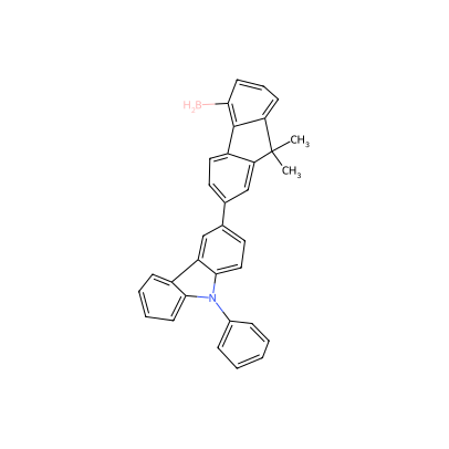 Bc1cccc2c1-c1ccc(-c3ccc4c(c3)c3ccccc3n4-c3ccccc3)cc1C2(C)C